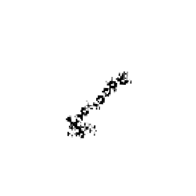 CC(C)(C)n1nc(-c2noc(C3CC3)c2-c2ncc(C3CCN(C(=O)OCC(=O)N4CCC(N5CCN(c6c(F)cc(NC7CCC(=O)NC7=O)cc6F)CC5)CC4)CC3)cn2)c2c(N)ncnc21